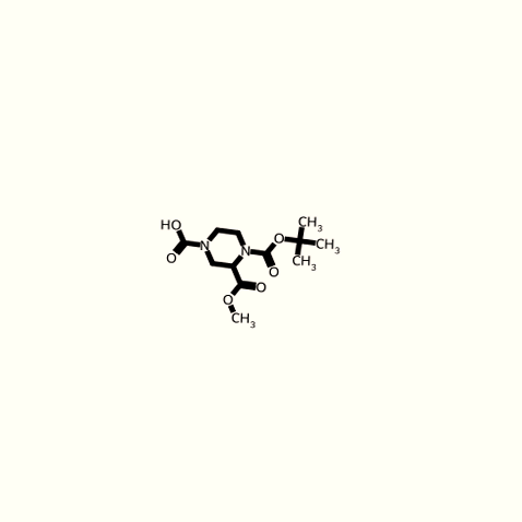 COC(=O)C1CN(C(=O)O)CCN1C(=O)OC(C)(C)C